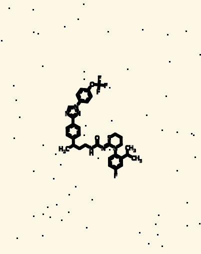 CC(C)c1cc(F)ccc1N1CCCS/C1=N\C(=O)NCCC(C)c1ccc(-c2ncn(-c3ccc(OC(F)(F)F)cc3)n2)cc1